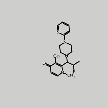 Cn1ccc(=O)c(O)c1C(C(F)F)N1CCN(c2ccccn2)CC1